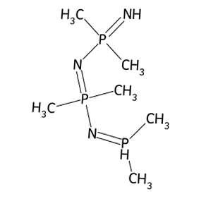 C[PH](C)=NP(C)(C)=NP(C)(C)=N